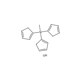 C[Si](C1=CC=CC1)(C1=CC=CC1)C1=CC=CC1.[LiH]